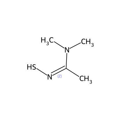 C/C(=N/S)N(C)C